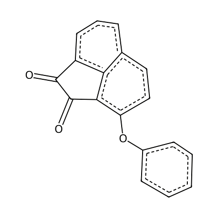 O=C1C(=O)c2c(Oc3ccccc3)ccc3cccc1c23